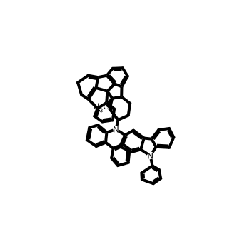 CC12CC(N(c3ccc4c(c3)c3ccccc3n4-c3ccccc3)c3ccccc3-c3ccccc3)CCC1c1cccc3c1C21C2=C(CCC=C23)c2ccccc21